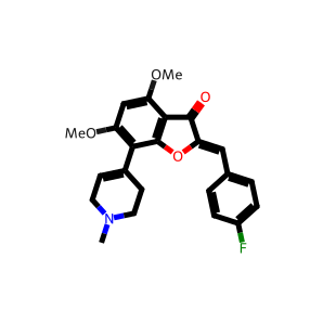 COc1cc(OC)c(C2=CCN(C)CC2)c2c1C(=O)/C(=C/c1ccc(F)cc1)O2